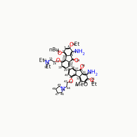 CCCCOc1cc(OCC)c(N)c2c1-c1c(OCCN(CC)CC)cccc1C2=O.CCOc1cc(OC)c2c(c1N)C(=O)c1cccc(OCCN3CCCC3)c1-2